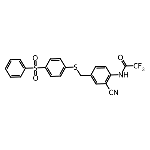 N#Cc1cc(CSc2ccc(S(=O)(=O)c3ccccc3)cc2)ccc1NC(=O)C(F)(F)F